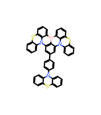 c1ccc2c(c1)Sc1ccccc1N2c1ccc(-c2cc3c4c(c2)N2c5ccccc5Sc5cccc(c52)B4c2cccc4c2N3c2ccccc2S4)cc1